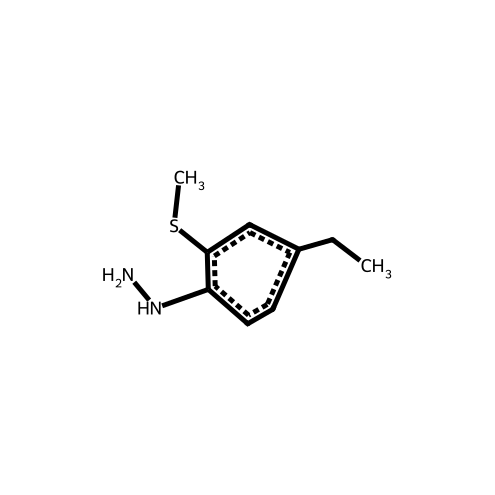 CCc1ccc(NN)c(SC)c1